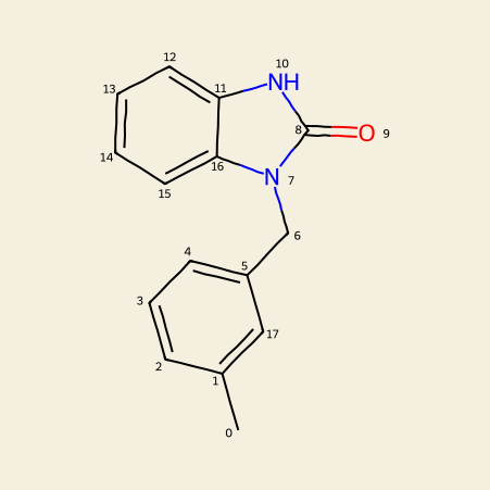 Cc1cccc(Cn2c(=O)[nH]c3ccccc32)c1